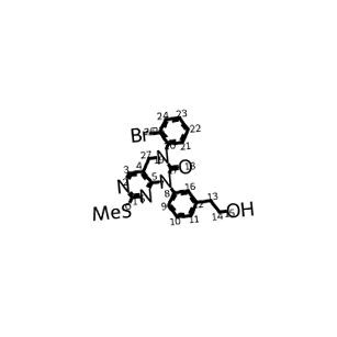 CSc1ncc2c(n1)N(c1cccc(CCO)c1)C(=O)N(c1ccccc1Br)C2